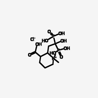 C[N+]1(C)CCCC(C(=O)O)C1CC(O)(P(=O)(O)O)P(=O)(O)O.[Cl-]